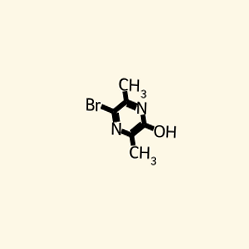 Cc1nc(Br)c(C)nc1O